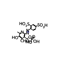 Cc1nc(/N=N/c2ccc(S(=O)(=O)O)cc2S(=O)(=O)O)c(COP(=O)(O)O)c(C=O)c1O